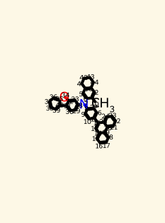 Cc1cc2c(cc1N(c1ccc(-c3cc4ccccc4c4ccccc34)cc1)c1ccc3c(c1)oc1ccccc13)CCCC2